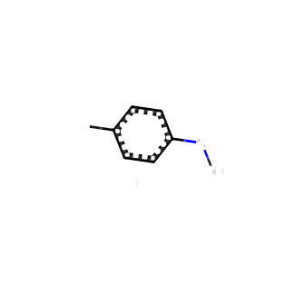 CC(C)Nc1ccc(C(F)(F)F)cc1.Cl